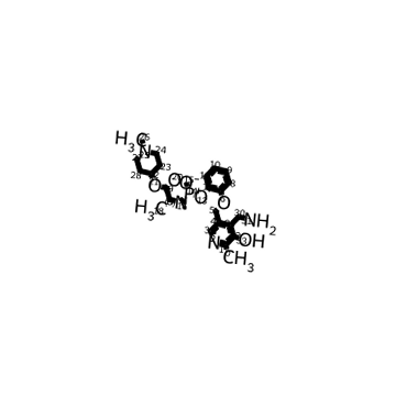 Cc1ncc(COc2ccccc2O[P+]([O-])=N[C@@H](C)C(=O)OC2CCN(C)CC2)c(CN)c1O